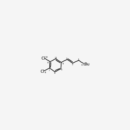 CC(C)(C)C/C=C/c1ccc(Cl)c(Cl)c1